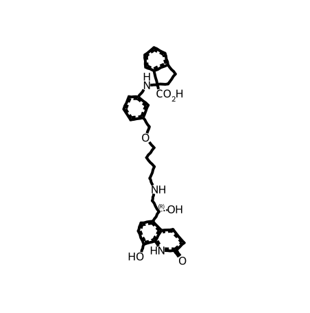 O=C(O)C1(Nc2cccc(COCCCCNC[C@H](O)c3ccc(O)c4[nH]c(=O)ccc34)c2)CCc2ccccc21